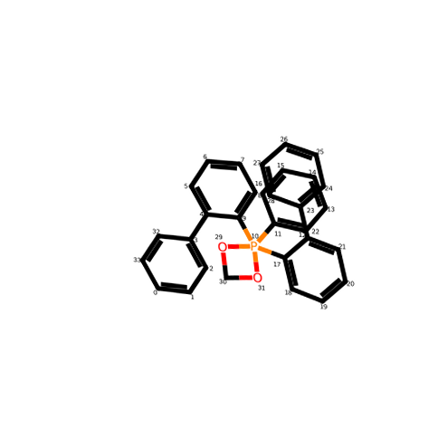 c1ccc(-c2ccccc2P2(c3ccccc3)(c3ccccc3-c3ccccc3)OCO2)cc1